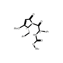 CCC[C@@H](NC(=O)OC(C)(C)C)C(=O)N1C(=O)C=C(OC)[C@H]1CC(C)C